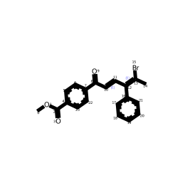 COC(=O)c1ccc(C(=O)/C=C/C(=C(/C)Br)c2ccccc2)cc1